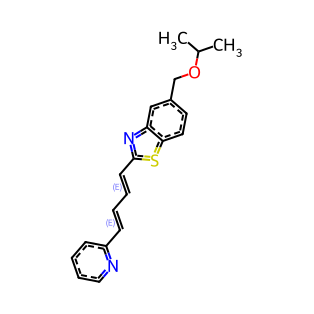 CC(C)OCc1ccc2sc(/C=C/C=C/c3ccccn3)nc2c1